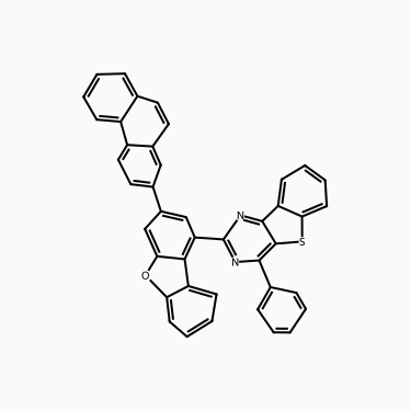 c1ccc(-c2nc(-c3cc(-c4ccc5c(ccc6ccccc65)c4)cc4oc5ccccc5c34)nc3c2sc2ccccc23)cc1